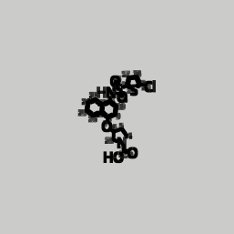 O=C(O)N1CCC(Oc2ccc(NS(=O)(=O)c3ccc(Cl)s3)c3ccccc23)C1